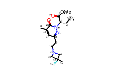 COC(=O)[C@H](CC(C)C)n1nc(CCN2CC(C)(F)C2)cc(C)c1=O